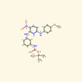 COc1ccc(Nc2ncc([N+](=O)[O-])c(Nc3cccc(NC(=O)OC(C)(C)C)c3)n2)cc1